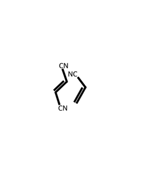 C=CC#N.N#CC=CC#N